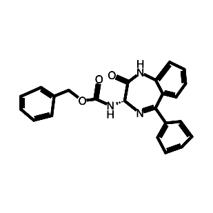 O=C(N[C@H]1N=C(c2ccccc2)c2ccccc2NC1=O)OCc1ccccc1